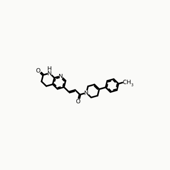 Cc1ccc(C2=CCN(C(=O)/C=C/c3cnc4c(c3)CCC(=O)N4)CC2)cc1